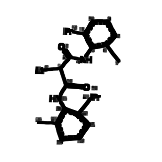 CCC(C(=O)Nc1c(C)cccc1C(C)C)C(=O)Nc1c(C)cccc1C(C)C